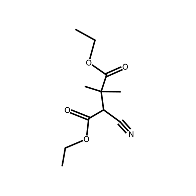 CCOC(=O)C(C#N)C(C)(C)C(=O)OCC